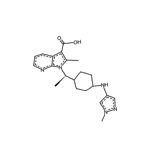 Cc1c(C(=O)O)c2cccnc2n1[C@H](C)C1CCC(Nc2cnn(C)c2)CC1